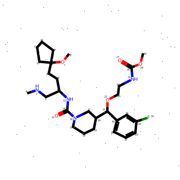 CNCC(CCC1(OC)CCCC1)NC(=O)N1CCCC(C(OCCNC(=O)OC)c2cccc(F)c2)C1